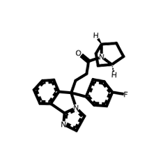 O=C(CCC1(c2ccc(F)cc2)c2ccccc2-c2nccn21)N1[C@H]2CC[C@H]1CC2